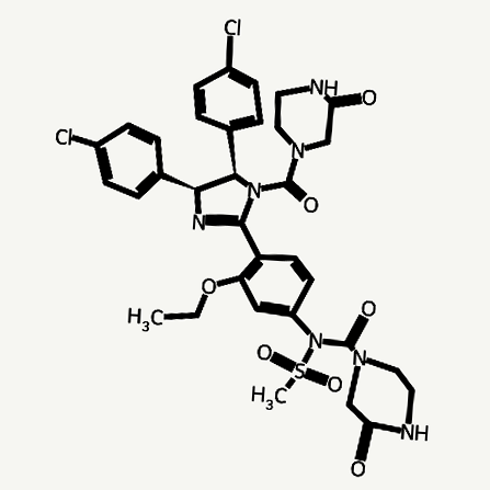 CCOc1cc(N(C(=O)N2CCNC(=O)C2)S(C)(=O)=O)ccc1C1=N[C@@H](c2ccc(Cl)cc2)[C@@H](c2ccc(Cl)cc2)N1C(=O)N1CCNC(=O)C1